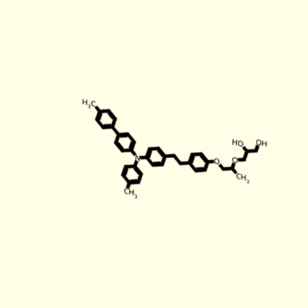 Cc1ccc(-c2ccc(N(c3ccc(C)cc3)c3ccc(CCc4ccc(OCC(C)OCC(O)CO)cc4)cc3)cc2)cc1